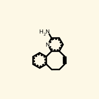 Nc1ccc2c(n1)-c1ccccc1CCC#C2